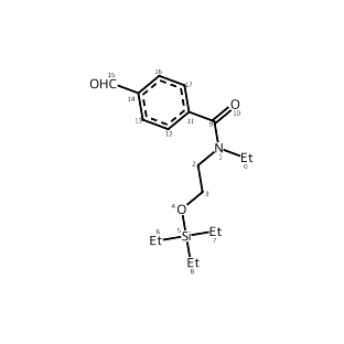 CCN(CCO[Si](CC)(CC)CC)C(=O)c1ccc(C=O)cc1